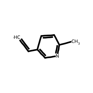 [CH]=Cc1ccc(C)nc1